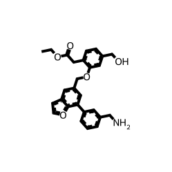 CCOC(=O)Cc1ccc(CO)cc1OCc1cc(-c2cccc(CN)c2)c2occc2c1